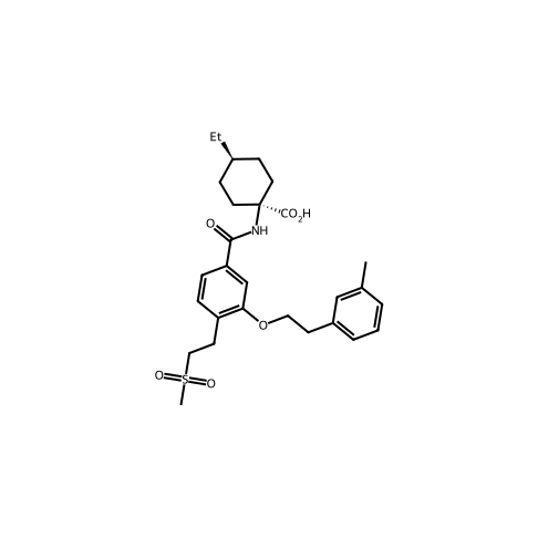 CC[C@H]1CC[C@](NC(=O)c2ccc(CCS(C)(=O)=O)c(OCCc3cccc(C)c3)c2)(C(=O)O)CC1